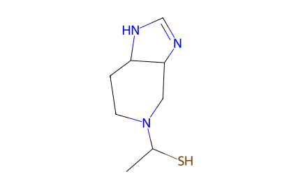 CC(S)N1CCC2NC=NC2C1